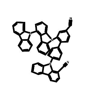 N#Cc1ccc(-c2ccc(-n3c4ccccc4c4cccc(C#N)c43)cc2)c(-n2c3ccccc3c3c(-n4c5ccccc5c5ccccc54)cccc32)c1